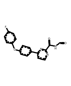 O=CNC(=O)c1nccc(-c2ccc(Oc3ccc(F)cc3)cc2)n1